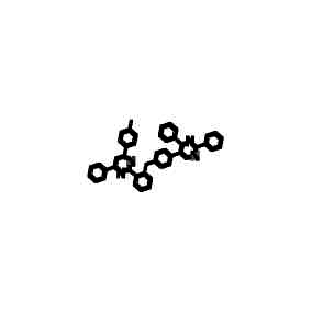 Cc1ccc(-c2cc(-c3ccccc3)nc(-c3ccccc3Cc3ccc(-c4cnc(-c5ccccc5)nc4-c4ccccc4)cc3)n2)cc1